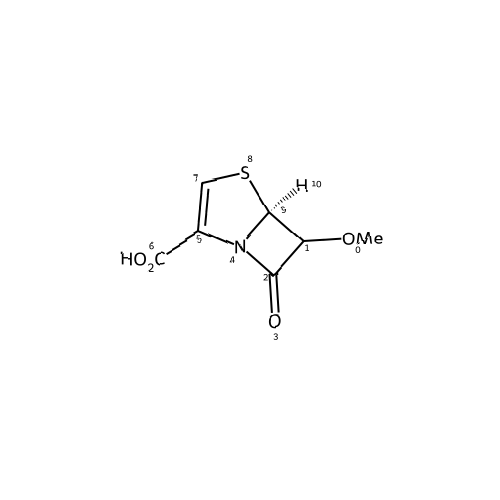 COC1C(=O)N2C(C(=O)O)=CS[C@@H]12